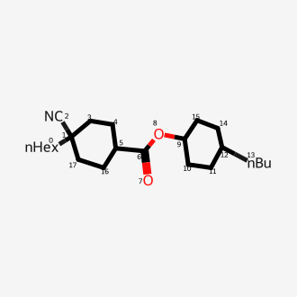 CCCCCCC1(C#N)CCC(C(=O)OC2CCC(CCCC)CC2)CC1